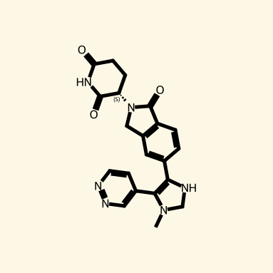 CN1CNC(c2ccc3c(c2)CN([C@H]2CCC(=O)NC2=O)C3=O)=C1c1ccnnc1